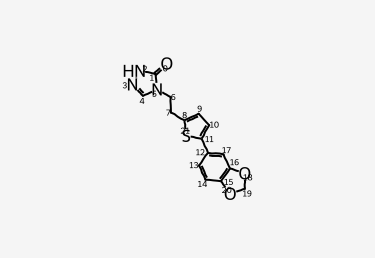 O=c1[nH]ncn1CCc1ccc(-c2ccc3c(c2)OCO3)s1